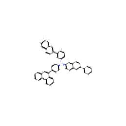 c1ccc(-c2ccc3cc(N(c4ccc(-c5cc6ccccc6c6ccccc56)cc4)c4cccc(-c5ccc6ccccc6c5)c4)ccc3c2)cc1